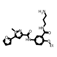 CCOc1ccc(NC(=O)c2cc(-c3ccco3)n(C)n2)cc1C(=O)NCCCN